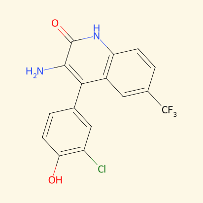 Nc1c(-c2ccc(O)c(Cl)c2)c2cc(C(F)(F)F)ccc2[nH]c1=O